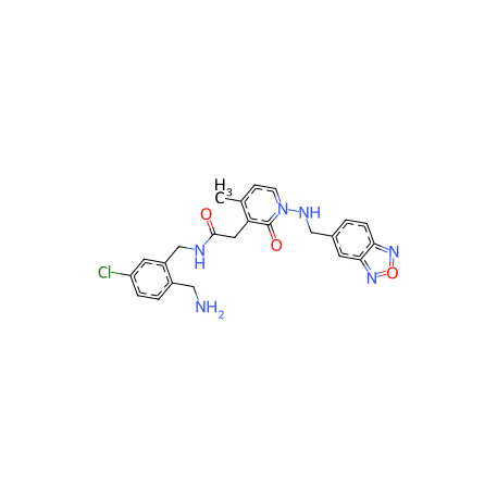 Cc1ccn(NCc2ccc3nonc3c2)c(=O)c1CC(=O)NCc1cc(Cl)ccc1CN